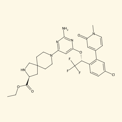 CCOC(=O)[C@@H]1CC2(CCN(c3cc(O[C@H](c4ccc(Cl)cc4-c4ccn(C)c(=O)c4)C(F)(F)F)nc(N)n3)CC2)CN1